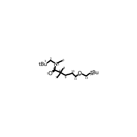 CN(CC(C)(C)C)C(=O)C(C)(C)CCCOCC(C)(C)C